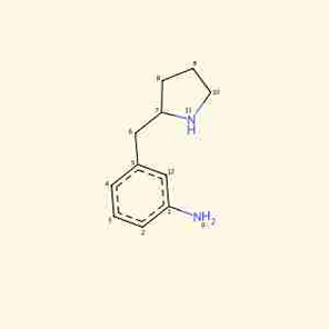 Nc1cccc(CC2CCCN2)c1